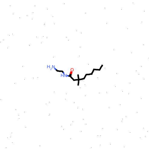 CCCCCCC(C)(C)CC(=O)NCCN